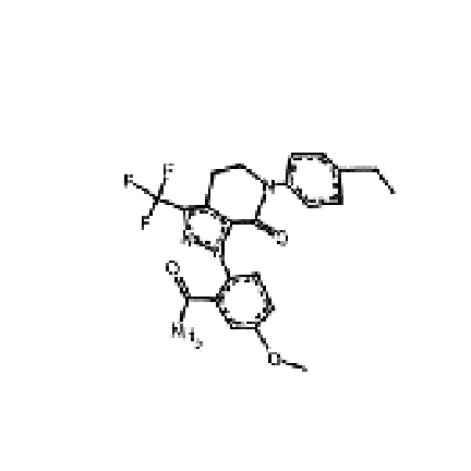 CCc1ccc(N2CCc3c(C(F)(F)F)nn(-c4ccc(OC)cc4C(N)=O)c3C2=O)cc1